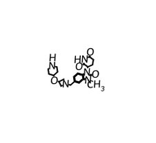 Cn1c(=O)n(C2CCC(=O)NC2=O)c2ccc(CN3CC(OC4CCNCC4)C3)cc21